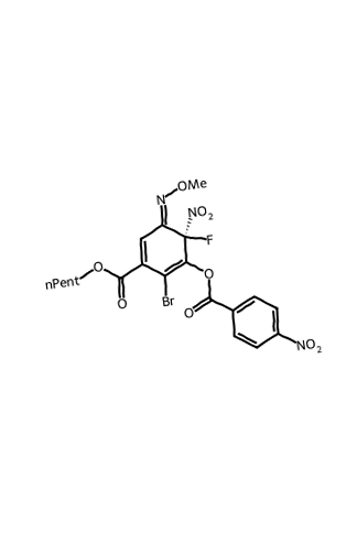 CCCCCOC(=O)C1=CC(=NOC)[C@](F)([N+](=O)[O-])C(OC(=O)c2ccc([N+](=O)[O-])cc2)=C1Br